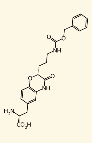 N[C@@H](Cc1ccc2c(c1)NC(=O)[C@@H](CCCNC(=O)OCc1ccccc1)O2)C(=O)O